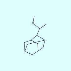 COC(C)C1C2CC3CC(C2)CC1C3